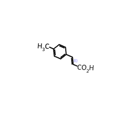 Cc1ccc(/C=C/C(=O)O)cc1